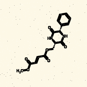 COC(=O)/C=C/C(=O)OC[C@@H]1NC(=O)[C@H](c2ccccc2)NC1=O